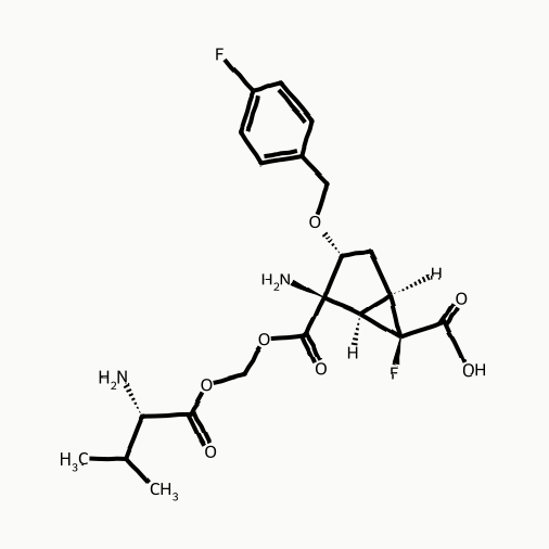 CC(C)[C@H](N)C(=O)OCOC(=O)[C@@]1(N)[C@H]2[C@@H](C[C@H]1OCc1ccc(F)cc1)[C@]2(F)C(=O)O